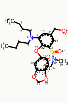 CCCCN(CCCC)c1cc(CO)cc(S(=O)(=O)N(C)C)c1Oc1ccc2c(c1)OCO2